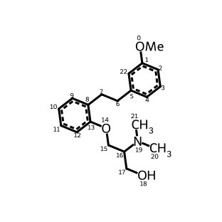 COc1cccc(CCc2ccccc2OCC(CO)N(C)C)c1